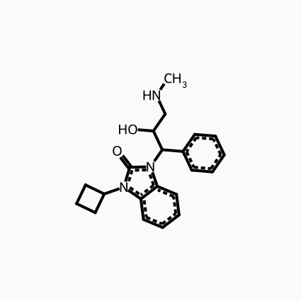 CNCC(O)C(c1ccccc1)n1c(=O)n(C2CCC2)c2ccccc21